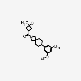 CCOc1cc(C2CCC3(CC2)CN(C(=O)[C@H]2C[C@@](C)(O)C2)C3)cc(C(F)(F)F)c1